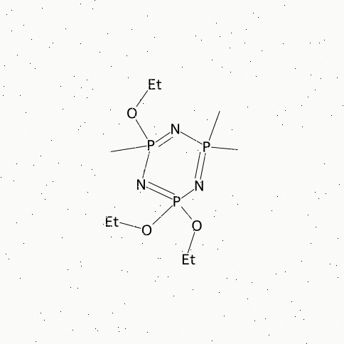 CCOP1(C)=NP(C)(C)=NP(OCC)(OCC)=N1